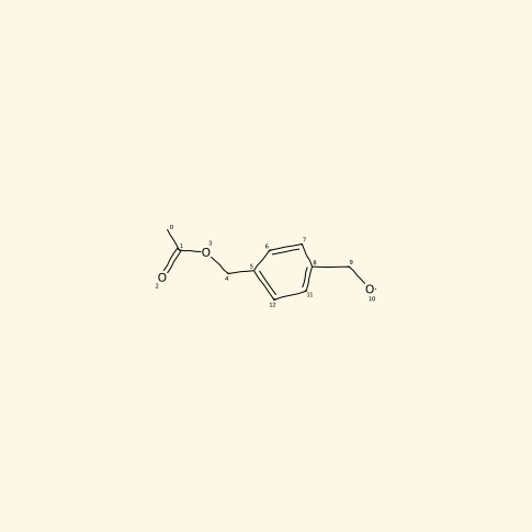 CC(=O)OCc1ccc(C[O])cc1